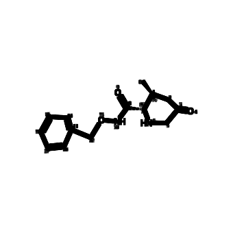 C[C@H]1CC(=O)CN[C@@H]1C(=O)NOCc1ccccc1